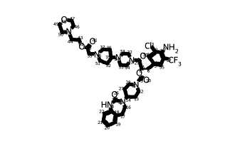 Nc1c(Cl)cc(C[C@@H](OC(=O)N2CCC(N3CCc4ccccc4NC3=O)CC2)C(=O)N2CCN(C3CCN(CC(=O)OCCN4CCOCC4)CC3)CC2)cc1C(F)(F)F